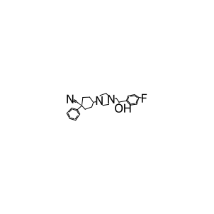 N#C[C@]1(c2ccccc2)CC[C@H](N2CCN(CC(O)c3ccc(F)cc3)CC2)CC1